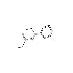 CCC(=O)OC(CC)c1cccc(C)c1